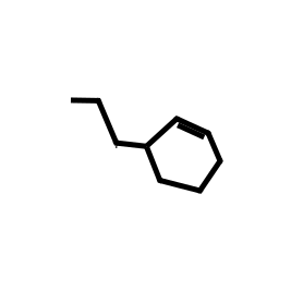 CC[CH]C1C=CCCC1